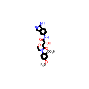 N=C1NCc2cc(NC(=O)[C@H](O)[C@H]3OCCN(c4ccc(OC(F)(F)F)cc4C(=O)O)C3=O)ccc21